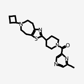 Cc1cncc(C(=O)N2CCC(c3nc4c(s3)CCN(C3CCC3)CC4)CC2)n1